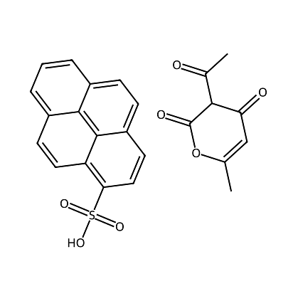 CC(=O)C1C(=O)C=C(C)OC1=O.O=S(=O)(O)c1ccc2ccc3cccc4ccc1c2c34